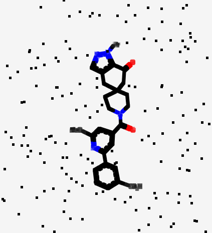 COc1cc(C(=O)N2CCC3(CC2)CC(=O)c2c(cnn2C(C)C)C3)cc(-c2cccc(C(=O)O)c2)n1